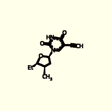 C#Cc1cn([C@H]2C[C@@H](C)[C@@H](CC)O2)c(=O)[nH]c1=O